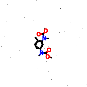 COC(=O)N(C)c1ccc(C)c(N(C)C(=O)OC)c1